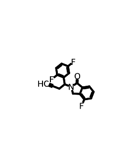 C#CCC(c1cc(F)ccc1F)N1Cc2c(F)cccc2C1=O